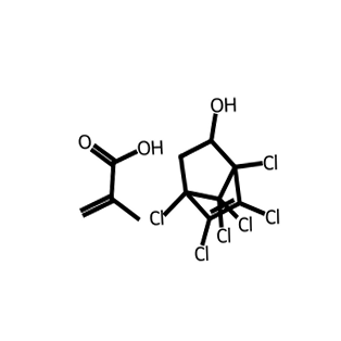 C=C(C)C(=O)O.OC1CC2(Cl)C(Cl)=C(Cl)C1(Cl)C2(Cl)Cl